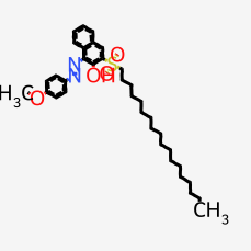 CCCCCCCCCCCCCCCCCCS(=O)(=O)c1cc2ccccc2c(N=Nc2ccc(OC)cc2)c1O